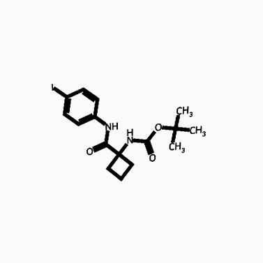 CC(C)(C)OC(=O)NC1(C(=O)Nc2ccc(I)cc2)CCC1